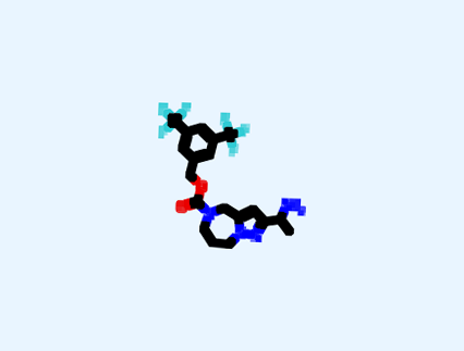 CC(N)c1cc2n(n1)CCCN(C(=O)OCc1cc(C(F)(F)F)cc(C(F)(F)F)c1)C2